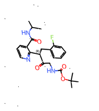 CC(C)NC(=O)c1cccnc1[C@@H](Cc1ccccc1F)C(=O)CNC(=O)OC(C)(C)C